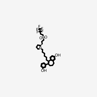 O=S(=O)(CCC[C@@H]1CCCN1CCCCCCC1=C(c2cccc(O)c2)CCCc2cc(O)ccc21)CCC(F)(F)C(F)(F)F